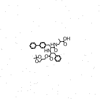 CC(CNC(=O)[C@H](Cc1ccc(-c2ccccc2)cc1)NC(Cc1ccccc1)C(=O)OCC1COC(C)(C)O1)C(=O)O